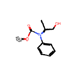 CC(CO)N(C(=O)OC(C)(C)C)c1ccccc1